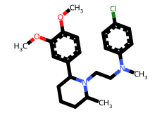 COc1ccc(C2CCCC(C)N2CCN(C)c2ccc(Cl)cc2)cc1OC